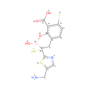 NCc1cnc([C@]2(S)Cc3ccc(F)c(C(=O)O)c3OB2O)s1